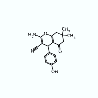 CC1(C)CC(=O)C2=C(C1)OC(N)=C(C#N)C2c1ccc(O)cc1